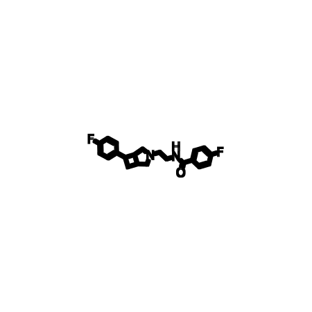 O=C(NCCN1CC2CC(c3ccc(F)cc3)C2C1)c1ccc(F)cc1